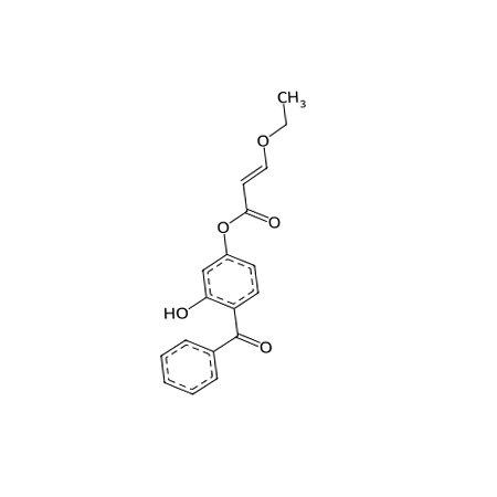 CCOC=CC(=O)Oc1ccc(C(=O)c2ccccc2)c(O)c1